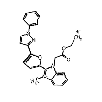 CCOC(=O)Cn1c(-c2ccc(-c3ccn(-c4ccccc4)n3)o2)[n+](C)c2ccccc21.[Br-]